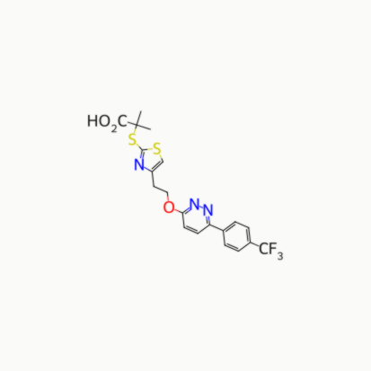 CC(C)(Sc1nc(CCOc2ccc(-c3ccc(C(F)(F)F)cc3)nn2)cs1)C(=O)O